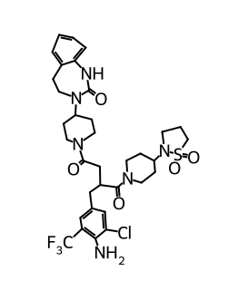 Nc1c(Cl)cc(CC(CC(=O)N2CCC(N3CCc4ccccc4NC3=O)CC2)C(=O)N2CCC(N3CCCS3(=O)=O)CC2)cc1C(F)(F)F